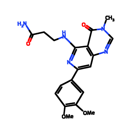 COc1ccc(-c2cc3ncn(C)c(=O)c3c(NCCC(N)=O)n2)cc1OC